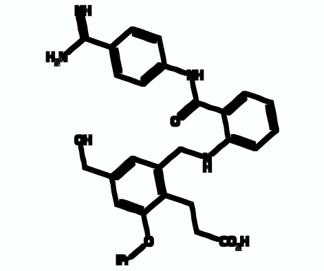 CC(C)Oc1cc(CO)cc(CNc2ccccc2C(=O)Nc2ccc(C(=N)N)cc2)c1CCC(=O)O